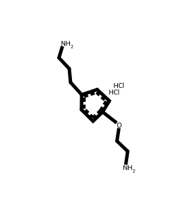 Cl.Cl.NCCCc1ccc(OCCN)cc1